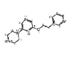 c1cncc(CCOc2cncc(N3CCNCC3)n2)c1